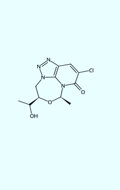 CC(O)[C@H]1Cn2nnc3cc(Cl)c(=O)n(c32)[C@@H](C)O1